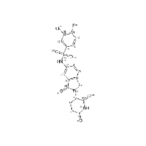 O=C1CCC(N2Cc3ccc(NS(=O)(=O)c4ccc(F)c(Cl)c4)cc3C2=O)C(=O)N1